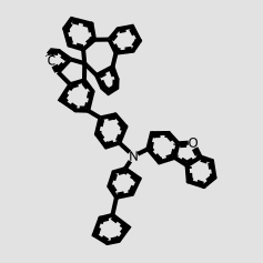 c1ccc(-c2ccc(N(c3ccc(-c4ccc5c(c4)C4(c6ccccc6-c6ccccc6-c6ccccc64)c4ccccc4-5)cc3)c3ccc4oc5ccccc5c4c3)cc2)cc1